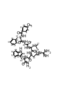 COc1ccc(C(=O)N[C@@H](Cc2ccccc2)C(=O)NCC(=O)N[C@@H](CC(C)C)C(=O)N[C@@H](CCCNC(=N)N)C(=O)N[C@@H](Cc2c[nH]c3ccccc23)C(N)=O)cc1